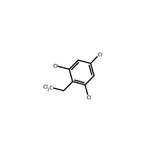 Clc1cc(Cl)c(CC(Cl)(Cl)Cl)c(Cl)c1